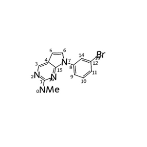 CNc1ncc2ccn(-c3cccc(Br)c3)c2n1